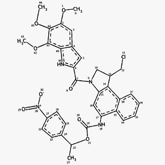 COc1cc2cc(C(=O)N3CC(CCl)c4c3cc(NC(=O)OC(C)c3ccc([N+](=O)[O-])cc3)c3ccccc43)[nH]c2c(OC)c1OC